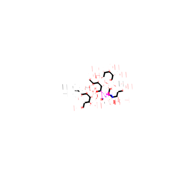 CC(=O)NC1[C@H](O[C@@H]2C(O)[C@H](C(C)(C)C)OC(CO)[C@@H]2O)OC(CO)[C@@H](O[C@@H]2OC(C)[C@@H](O)C(O)[C@H]2O)[C@@H]1O[C@@H]1OC(CO)[C@H](O)[C@H](O)C1O